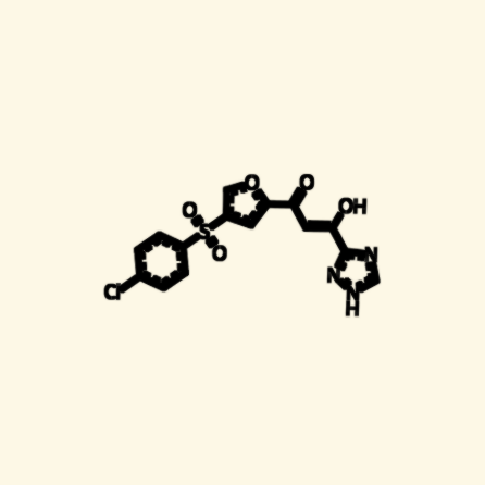 O=C(C=C(O)c1nc[nH]n1)c1cc(S(=O)(=O)c2ccc(Cl)cc2)co1